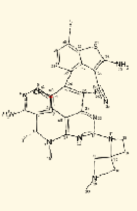 C[C@H](c1cccnc1N)N(C)c1nc(N2CCC23CN(C)C3)nc2c(F)c(-c3ccc(F)c4sc(N)c(C#N)c34)c(Cl)cc12